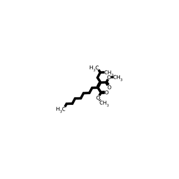 CCCCCCCC/C(C(=O)OC)=C(\CC(C)C)C(=O)OC